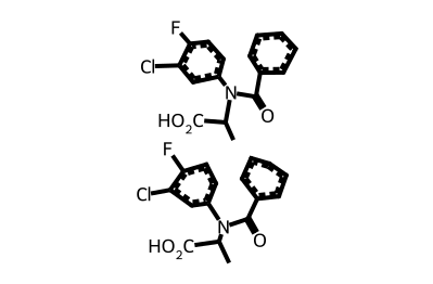 CC(C(=O)O)N(C(=O)c1ccccc1)c1ccc(F)c(Cl)c1.CC(C(=O)O)N(C(=O)c1ccccc1)c1ccc(F)c(Cl)c1